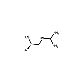 CC(=O)[C@@H](N)CNC(N)N